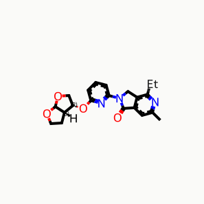 CCc1nc(C)cc2c1CN(c1cccc(O[C@H]3COC4OCC[C@H]43)n1)C2=O